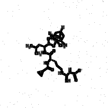 CC(C)C[C@H](NC(=O)[C@H](CCCNC(=N)N[N+](=O)[O-])NC(=O)C1CC1)B1O[C@@H]2C[C@@H]3C[C@@H](C3(C)C)[C@]2(C)O1